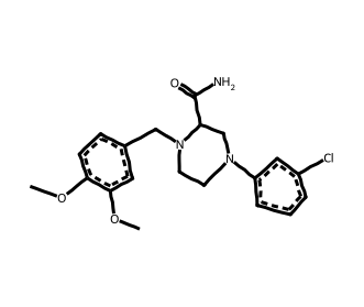 COc1ccc(CN2CCN(c3cccc(Cl)c3)CC2C(N)=O)cc1OC